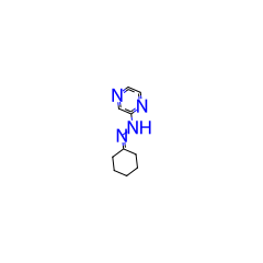 c1cnc(NN=C2CCCCC2)cn1